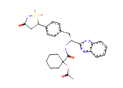 O=C1CC(c2ccc(C[C@H](NC(=O)C3(OC(=O)C(F)(F)F)CCCCC3)c3nc4ccccc4[nH]3)cc2)S(O)(O)N1